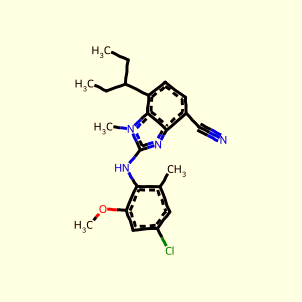 CCC(CC)c1ccc(C#N)c2nc(Nc3c(C)cc(Cl)cc3OC)n(C)c12